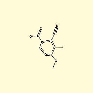 COc1ccc([N+](=O)[O-])c(C#N)c1C